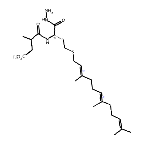 CC(C)=CCC/C(C)=C/CC/C(C)=C/CSCC[C@H](NC(=O)C(C)CC(=O)O)C(=O)NN